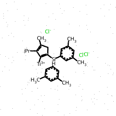 CC1=C(C(C)C)[C]([Ti+3])=C([SiH](c2cc(C)cc(C)c2)c2cc(C)cc(C)c2)C1.[Cl-].[Cl-].[Cl-]